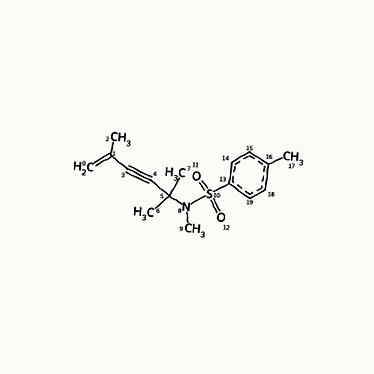 C=C(C)C#CC(C)(C)N(C)S(=O)(=O)c1ccc(C)cc1